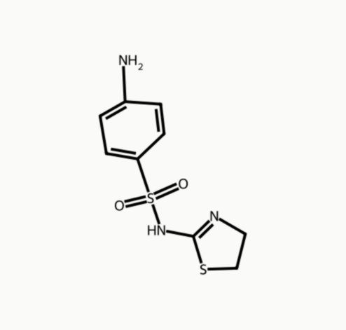 Nc1ccc(S(=O)(=O)NC2=NCCS2)cc1